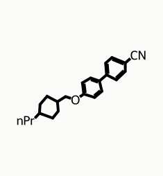 CCCC1CCC(COc2ccc(-c3ccc(C#N)cc3)cc2)CC1